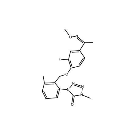 CO/N=C(/C)c1ccc(OCc2c(C)cccc2-n2nnn(C)c2=O)c(F)c1